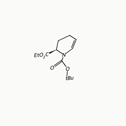 CCOC(=O)[C@H]1CCC=CN1C(=O)OC(C)(C)C